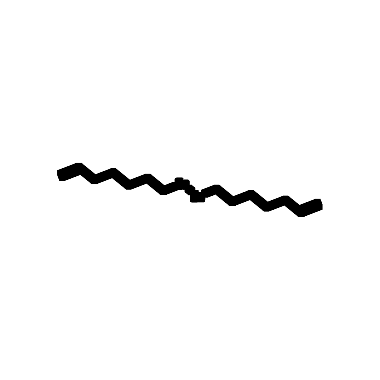 C=CCCCCC[Se][Se]CCCCCC=C